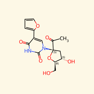 CC(=O)[C@]1(n2cc(-c3ccco3)c(=O)[nH]c2=O)C[C@H](O)[C@@H](CO)O1